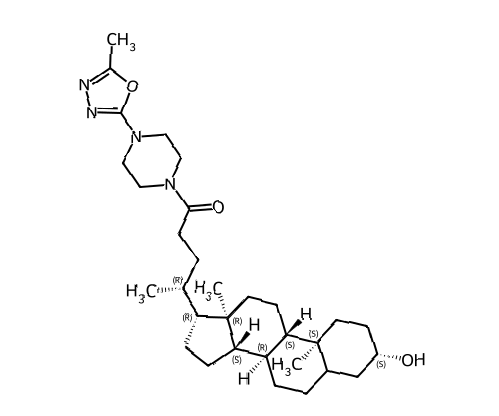 Cc1nnc(N2CCN(C(=O)CC[C@@H](C)[C@H]3CC[C@H]4[C@@H]5CCC6C[C@@H](O)CC[C@]6(C)[C@H]5CC[C@]34C)CC2)o1